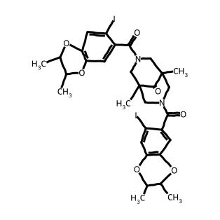 CC1Oc2cc(I)c(C(=O)N3CC4(C)CN(C(=O)c5cc6c(cc5I)OC(C)C(C)O6)CC(C)(C3)C4=O)cc2OC1C